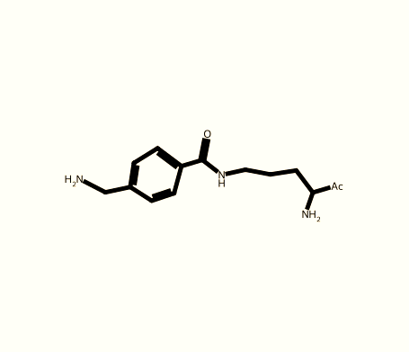 CC(=O)C(N)CCCNC(=O)c1ccc(CN)cc1